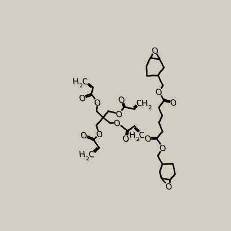 C=CC(=O)OCC(COC(=O)C=C)(COC(=O)C=C)COC(=O)C=C.O=C(CCCCC(=O)OCC1CCC2OC2C1)OCC1CCC2OC2C1